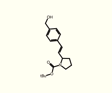 CC(C)(C)OC(=O)N1CCCC1/C=C/c1ccc(CO)cc1